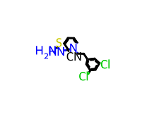 N#CC1(NC(N)=S)C=CC=CN1CCc1cc(Cl)cc(Cl)c1